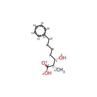 C[C@H](C(=O)O)[C@@H](O)CCCCc1ccccc1